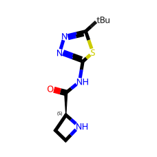 CC(C)(C)c1nnc(NC(=O)[C@@H]2CCN2)s1